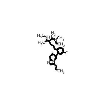 C=CN(C)C(=C)/C(CCCc1ccc(F)cc1-c1ccc2ncc(CCC)n2c1)=C(/C)NC